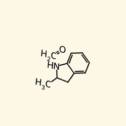 C=O.CC1Cc2ccccc2N1